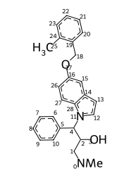 CNCC(O)C(c1ccccc1)n1ccc2cc(OCc3ccccc3C)ccc21